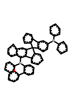 c1ccc(-c2ccccc2N(c2ccccc2)c2c3c(cc4ccccc24)C2(c4ccccc4-c4cc(N(c5ccccc5)c5ccccc5)ccc42)c2ccccc2-3)cc1